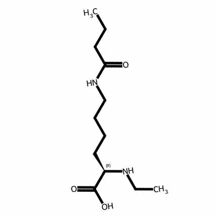 CCCC(=O)NCCCC[C@@H](NCC)C(=O)O